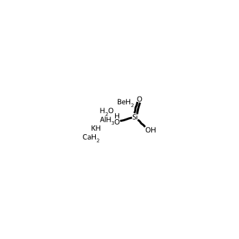 O.O=[Si](O)O.[AlH3].[BeH2].[CaH2].[KH]